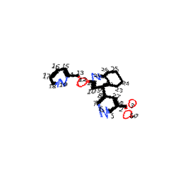 COC(=O)c1cncc(-c2cc(OCc3ccccn3)nc3c2CCCC3)c1